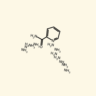 N.N.N.N.N.N.N.N.N.N.N.NC(=O)c1ccccn1